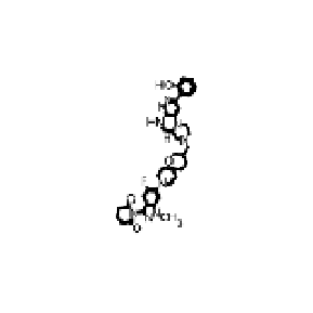 Cn1nc(N2C(=O)CCCC2=O)c2cc(F)c(N3CCC4(CCC(CN5CCN6c7cc(-c8ccccc8O)nnc7NC[C@H]6C5)CO4)CC3)cc21